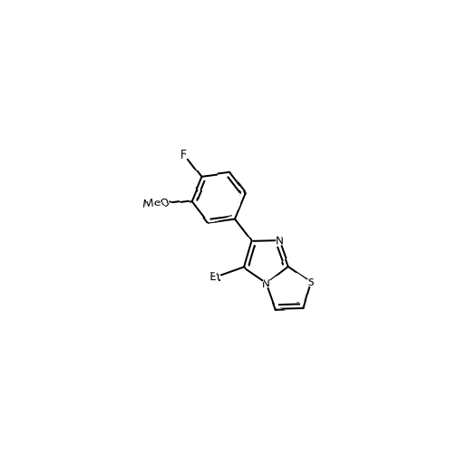 CCc1c(-c2ccc(F)c(OC)c2)nc2sccn12